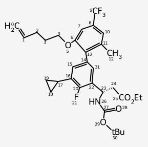 C=CCCCOc1cc(C(F)(F)F)cc(C)c1-c1cc(C2CC2)c(F)c([C@H](CC(=O)OCC)NC(=O)OC(C)(C)C)c1